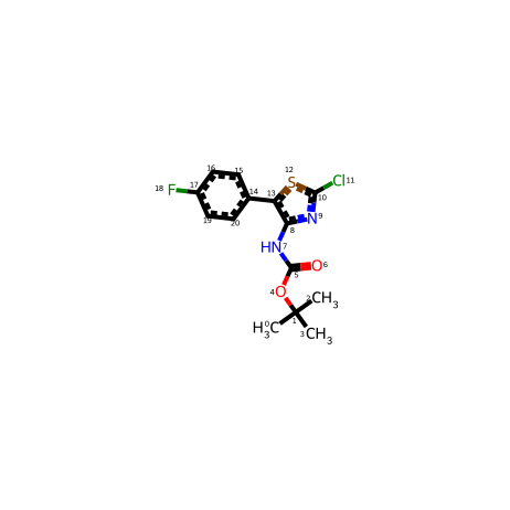 CC(C)(C)OC(=O)Nc1nc(Cl)sc1-c1ccc(F)cc1